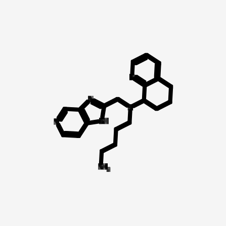 NCCCCN(Cc1nc2cnccc2[nH]1)C1CCCc2cccnc21